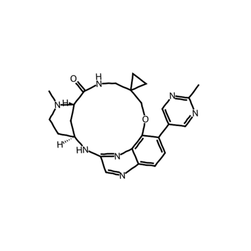 Cc1ncc(-c2ccc3ncc4nc3c2OCC2(CC2)CNC(=O)[C@@H]2C[C@H](CCN2C)N4)cn1